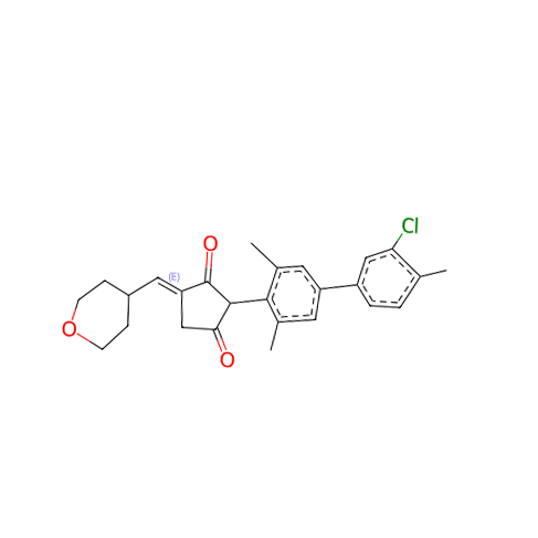 Cc1ccc(-c2cc(C)c(C3C(=O)C/C(=C\C4CCOCC4)C3=O)c(C)c2)cc1Cl